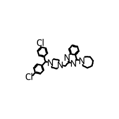 Clc1ccc(C(c2ccc(Cl)cc2)N2CCN(Cc3nc(N4CCCCCC4)c4ccccc4n3)CC2)cc1